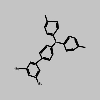 Cc1ccc(N(c2ccc(C)cc2)c2ccc(-c3cc(C(C)(C)C)cc(C(C)(C)C)c3)cc2)cc1